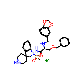 CS(=O)(=O)[N+]1(NC(=O)C(COCc2ccccc2)NCc2ccc3c(c2)OCO3)CC2(CCNCC2)c2ccccc21.Cl